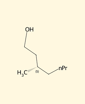 CCCC[C@H](C)CCO